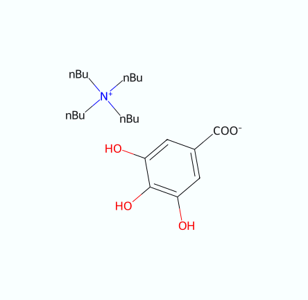 CCCC[N+](CCCC)(CCCC)CCCC.O=C([O-])c1cc(O)c(O)c(O)c1